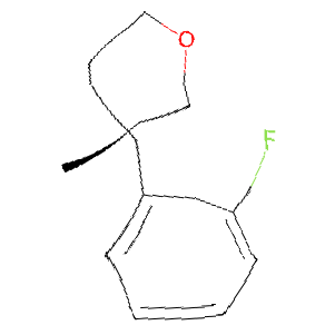 C[C@@]1(c2ccccc2F)CCOC1